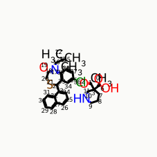 CC(=O)C1(C(=O)O)CCCNC1.CC(C)(C)CN1C(=O)CSC(c2cccc3ccccc23)c2cc(Cl)ccc21